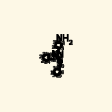 Nc1ccc(-c2nc(SSCc3ccccc3)n(Cc3ccccc3)n2)cc1